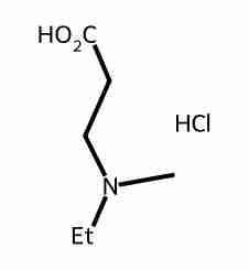 CCN(C)CCC(=O)O.Cl